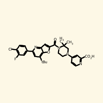 CC(C)(C)c1cc(-c2ccc(Cl)c(F)c2)nc2cc(C(=O)N3CCN(c4ccnc(C(=O)O)c4)CC3(C)C)oc12